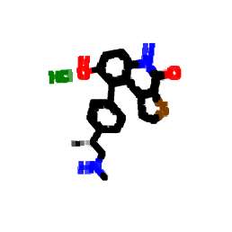 CNC[C@H](C)c1ccc(-c2c(O)ccc3[nH]c(=O)c4sccc4c23)cc1.Cl